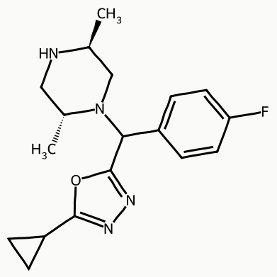 C[C@@H]1CN[C@@H](C)CN1C(c1ccc(F)cc1)c1nnc(C2CC2)o1